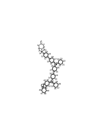 CC1CC2CC(C1)CC(C)(c1ccc(-c3ccc(N(c4ccccc4)c4ccc(-c5ccc(N(c6ccccc6)c6ccc7oc8ccccc8c7c6)cc5)cc4)cc3)cc1)C2